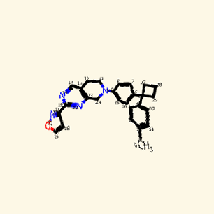 Cc1ccc(C2(c3ccc(N4CCc5cnc(-c6ccon6)nc5C4)cc3)CCC2)cc1